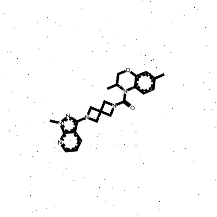 Cc1ccc2c(c1)OCC(C)N2C(=O)N1CC2(C1)CN(c1nn(C)c3ncccc13)C2